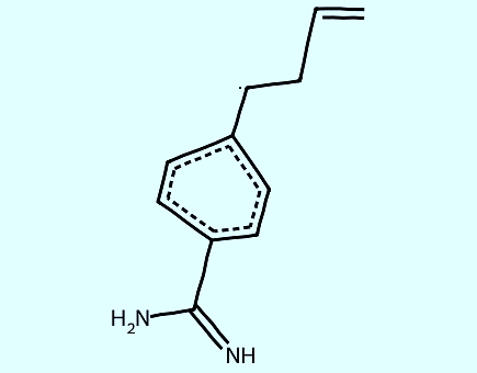 C=CC[CH]c1ccc(C(=N)N)cc1